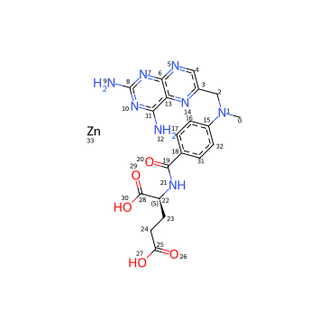 CN(Cc1cnc2nc(N)nc(N)c2n1)c1ccc(C(=O)N[C@@H](CCC(=O)O)C(=O)O)cc1.[Zn]